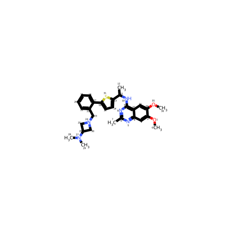 COc1cc2nc(C)nc(NC(C)c3ccc(-c4ccccc4CN4CC(N(C)C)C4)s3)c2cc1OC